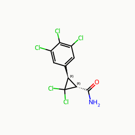 NC(=O)[C@H]1[C@H](c2cc(Cl)c(Cl)c(Cl)c2)C1(Cl)Cl